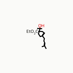 CCOC(=O)C1(C(C)(C)O)CC=C(CCC=C(C)C)CC1